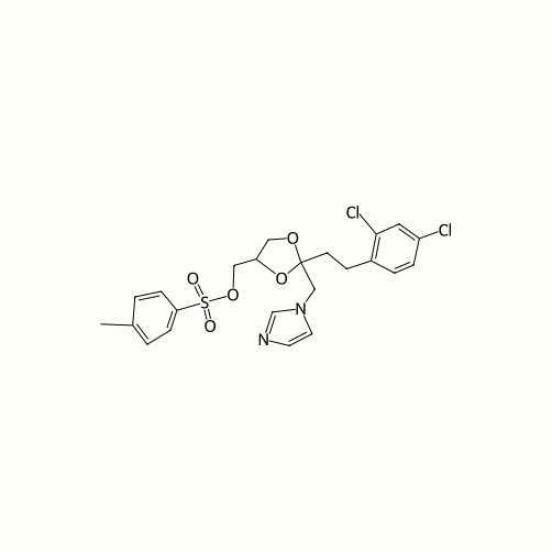 Cc1ccc(S(=O)(=O)OCC2COC(CCc3ccc(Cl)cc3Cl)(Cn3ccnc3)O2)cc1